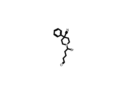 N#CC1(c2ccccc2)CCN(C(Br)CCCC=O)CC1